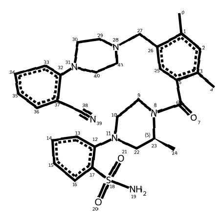 Cc1cc(C)c(C(=O)N2CCN(c3ccccc3S(N)(=O)=O)C[C@@H]2C)cc1CN1CCN(c2ccccc2C#N)CC1